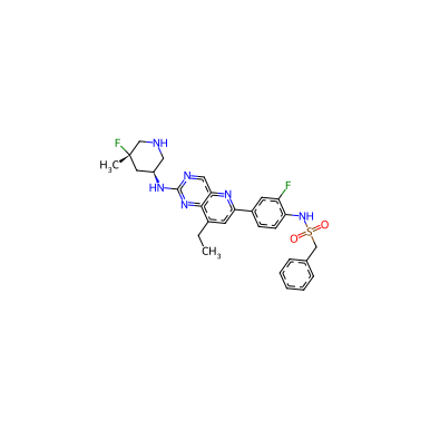 CCc1cc(-c2ccc(NS(=O)(=O)Cc3ccccc3)c(F)c2)nc2cnc(N[C@@H]3CNC[C@@](C)(F)C3)nc12